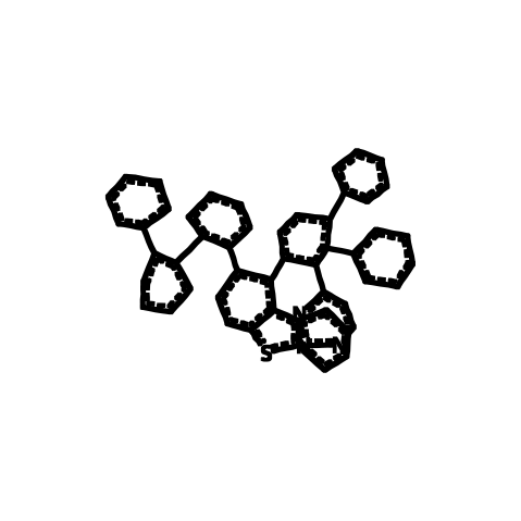 c1ccc(-c2ccccc2-c2ccccc2-c2ccc3sc4ccccc4c3c2-c2ccc(-c3ccccc3)c(-c3ccccc3)c2-c2ccnnn2)cc1